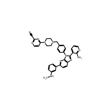 CNc1cccc(-c2ccc3nc(-c4cccnc4N)n(-c4ccc(CN5CCN(c6ccnc(C#N)n6)CC5)cc4)c3n2)c1